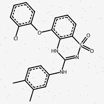 Cc1ccc(NC2=NS(=O)(=O)c3cccc(Oc4ccccc4Cl)c3N2)cc1C